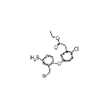 Bc1ccc(Oc2ccc(Cl)c(CC(=O)OCC)c2)c(CBr)c1